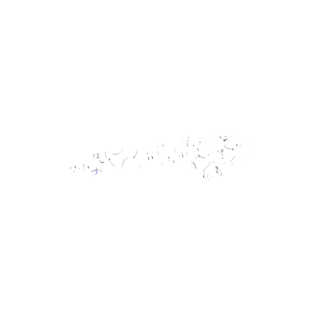 CCN(C(=O)[C@@H]1CCN(CC(=O)N2CC=C(c3ccc(C(=N)/N=C\NC)cc3)CC2)C1)c1ccc(N)c(C(=N)c2ccc(OC3CC3)c(OC)n2)c1